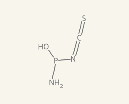 NP(O)N=C=S